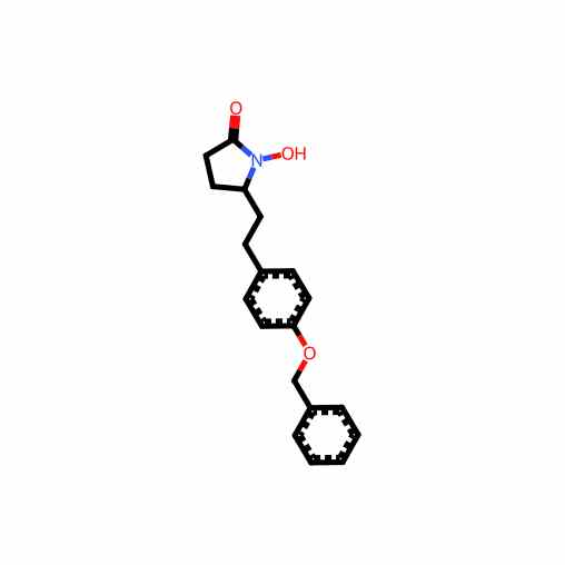 O=C1CCC(CCc2ccc(OCc3ccccc3)cc2)N1O